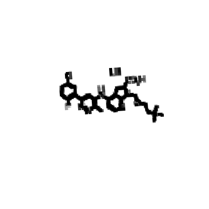 Cc1nnc(-c2cc(Cl)ccc2F)cc1Nc1ccnc2c1cc(C(=O)O)n2COCC[Si](C)(C)C.[LiH]